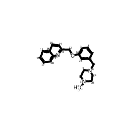 CN1CCN(Cc2cccc(OCc3ccc4ccccc4n3)c2)CC1